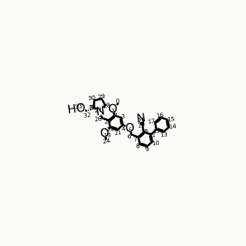 COc1cc(OCc2cccc(-c3ccccc3)c2C#N)cc(OC)c1CN1CCC[C@H]1CO